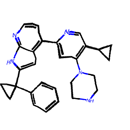 c1ccc(C2(c3cc4c(-c5cc(N6CCNCC6)c(C6CC6)cn5)ccnc4[nH]3)CC2)cc1